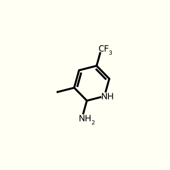 CC1=CC(C(F)(F)F)=CNC1N